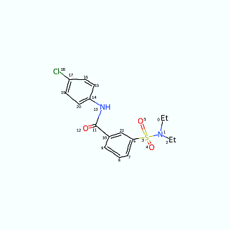 CCN(CC)S(=O)(=O)c1cccc(C(=O)Nc2ccc(Cl)cc2)c1